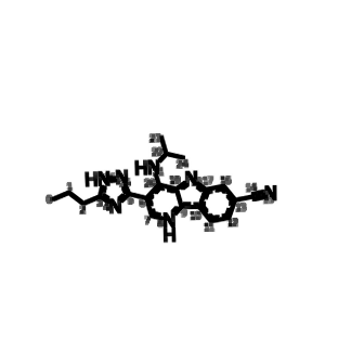 CCCc1nc(-c2c[nH]c3c4ccc(C#N)cc4nc-3c2NC(C)C)n[nH]1